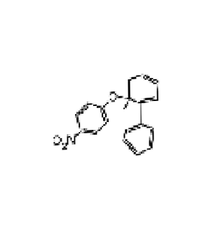 O=[N+]([O-])c1ccc(OC2(I)CC=CC=C2c2ccccc2)cc1